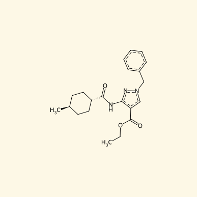 CCOC(=O)c1cn(Cc2ccccc2)nc1NC(=O)[C@H]1CC[C@H](C)CC1